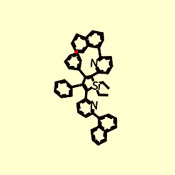 CC[Si]1(CC)C(c2cccc(-c3cccc4ccccc34)n2)=C(c2ccccc2)C(c2ccccc2)=C1c1cccc(-c2cccc3ccccc23)n1